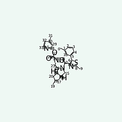 Cc1cccc(-c2sc(C)nc2C(=O)N2C[C@@H]3CC(C)C[C@@H]3[C@H]2CNC(=O)Oc2cc(C)ccn2)c1